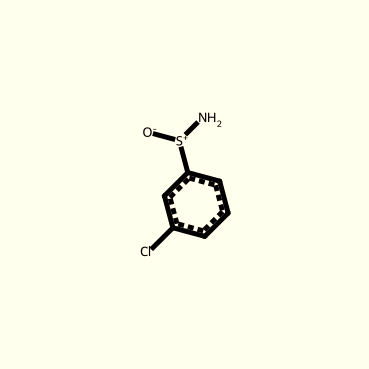 N[S+]([O-])c1cccc(Cl)c1